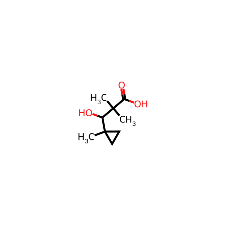 CC1(C(O)C(C)(C)C(=O)O)CC1